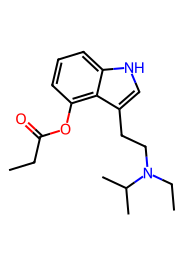 CCC(=O)Oc1cccc2[nH]cc(CCN(CC)C(C)C)c12